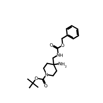 CC(C)(C)OC(=O)N1CCC(N)(CNC(=O)OCc2ccccc2)CC1